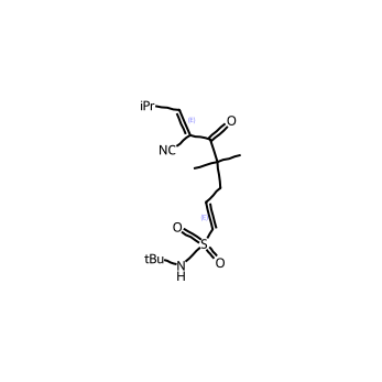 CC(C)/C=C(\C#N)C(=O)C(C)(C)C/C=C/S(=O)(=O)NC(C)(C)C